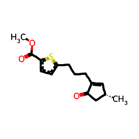 COC(=O)c1ccc(CCCC2=C[C@H](C)CC2=O)s1